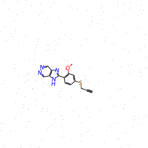 C#CCSc1ccc(-c2nc3cnncc3[nH]2)c(OC)c1